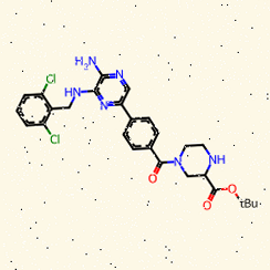 CC(C)(C)OC(=O)C1CN(C(=O)c2ccc(-c3cnc(N)c(NCc4c(Cl)cccc4Cl)n3)cc2)CCN1